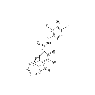 Cc1c(F)ccc(CNC(=O)c2cn3c(c(O)c2=O)C(=O)N2CC=CC[C@H]3C2)c1F